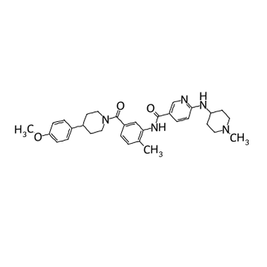 COc1ccc(C2CCN(C(=O)c3ccc(C)c(NC(=O)c4ccc(NC5CCN(C)CC5)nc4)c3)CC2)cc1